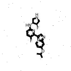 CC(C)Oc1ccn2c(-c3nc(N[C@@H]4CNC[C@H]4F)ccc3F)cnc2c1